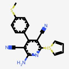 CSc1ccc(-c2c(C#N)c(N)nc([SH]3C=CC=C3)c2C#N)cc1